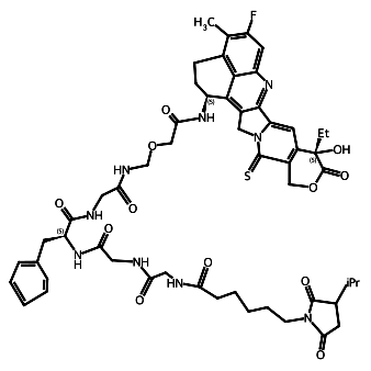 CC[C@@]1(O)C(=O)OCc2c1cc1n(c2=S)Cc2c-1nc1cc(F)c(C)c3c1c2[C@@H](NC(=O)COCNC(=O)CNC(=O)[C@H](Cc1ccccc1)NC(=O)CNC(=O)CNC(=O)CCCCCN1C(=O)CC(C(C)C)C1=O)CC3